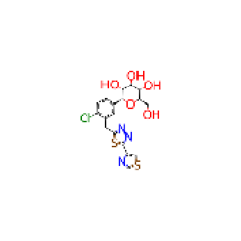 OC[C@H]1O[C@@H](c2ccc(Cl)c(Cc3nnc(-c4cscn4)s3)c2)[C@H](O)[C@@H](O)[C@@H]1O